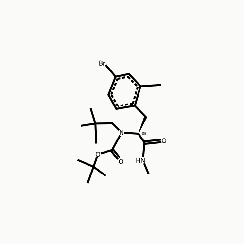 CNC(=O)[C@H](Cc1ccc(Br)cc1C)N(CC(C)(C)C)C(=O)OC(C)(C)C